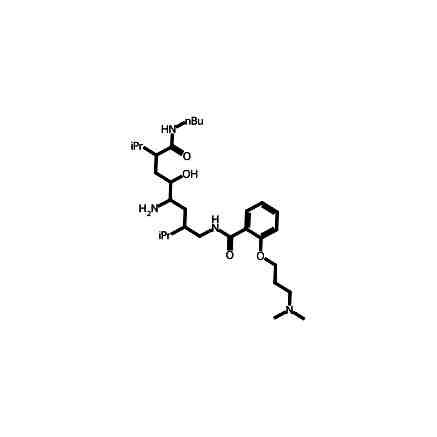 CCCCNC(=O)C(CC(O)C(N)CC(CNC(=O)c1ccccc1OCCCN(C)C)C(C)C)C(C)C